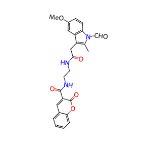 COc1ccc2c(c1)c(CC(=O)NCCNC(=O)c1cc3ccccc3oc1=O)c(C)n2C=O